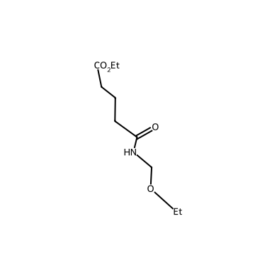 CCOCNC(=O)CCCC(=O)OCC